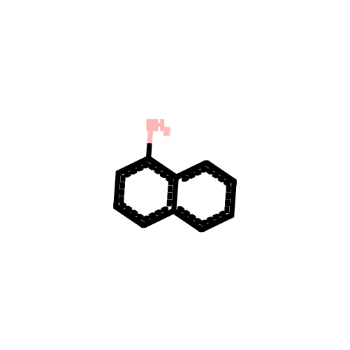 Bc1cccc2ccccc12